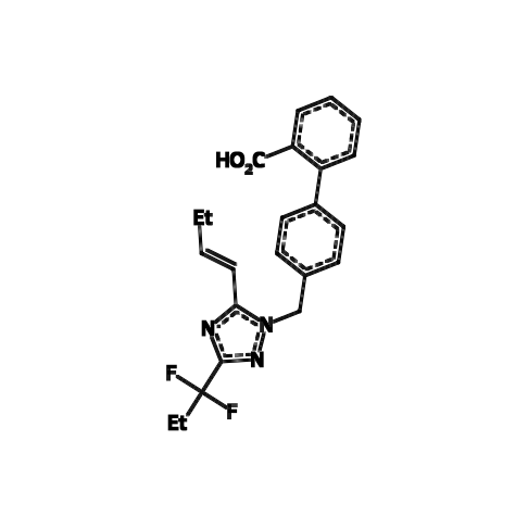 CCC=Cc1nc(C(F)(F)CC)nn1Cc1ccc(-c2ccccc2C(=O)O)cc1